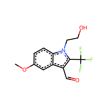 COc1ccc2c(c1)c(C=O)c(C(F)(F)F)n2CCO